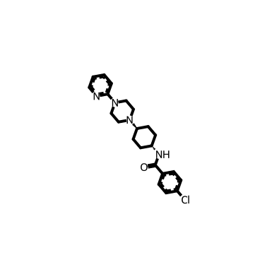 O=C(N[C@H]1CC[C@H](N2CCN(c3ccccn3)CC2)CC1)c1ccc(Cl)cc1